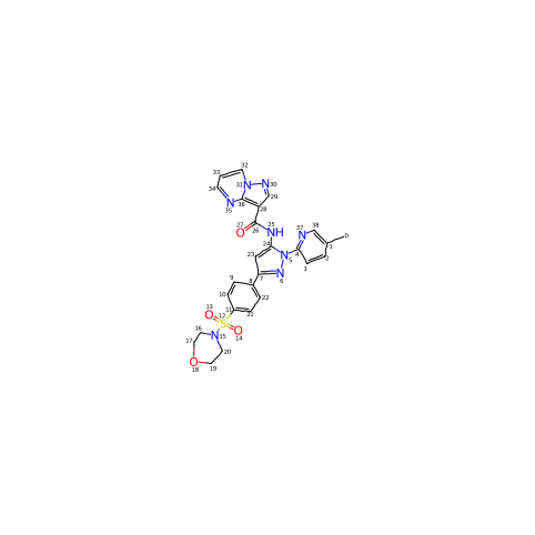 Cc1ccc(-n2nc(-c3ccc(S(=O)(=O)N4CCOCC4)cc3)cc2NC(=O)c2cnn3cccnc23)nc1